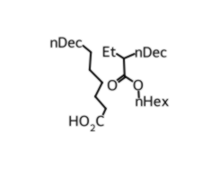 CCCCCCCCCCC(CC)C(=O)OCCCCCC.CCCCCCCCCCCCCCCC(=O)O